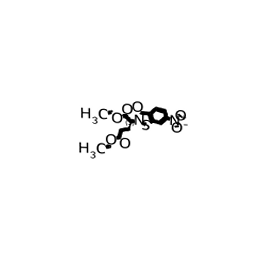 CCOC(=O)CC[C@@H](C(=O)OCC)n1sc2cc([N+](=O)[O-])ccc2c1=O